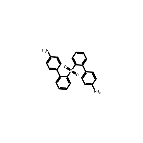 Nc1ccc(-c2ccccc2S(=O)(=O)c2ccccc2-c2ccc(N)cc2)cc1